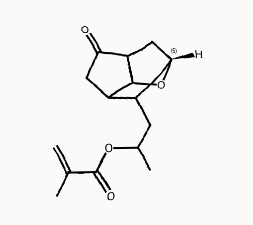 C=C(C)C(=O)OC(C)CC1C2CC(=O)C3C[C@@H]1OC32